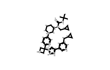 CC(C)(C)OC(=O)N(CC1CC1)[C@@H]1CCCN(c2ccc(C3(n4cc(-c5cncc(CC6CC6)c5)nn4)COC3)nc2)C1